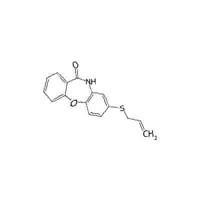 C=CCSc1ccc2c(c1)NC(=O)c1ccccc1O2